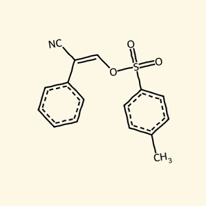 Cc1ccc(S(=O)(=O)OC=C(C#N)c2ccccc2)cc1